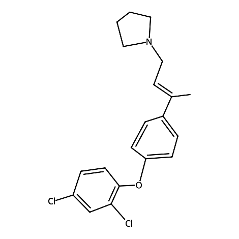 CC(=CCN1CCCC1)c1ccc(Oc2ccc(Cl)cc2Cl)cc1